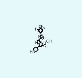 Cl.O=c1cc(C2CCNCC2)n2ncc(-c3nc(-c4ccc(C(F)(F)F)c(F)c4)no3)c2[nH]1